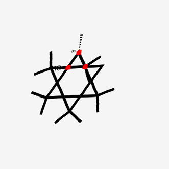 C[C@H]1C(O)C12CC21C(C)(C)C12C(C)(C)C21C(C)(C)C12C(C)(C)C21CC1(C)C